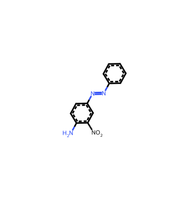 Nc1ccc(N=Nc2ccccc2)cc1[N+](=O)[O-]